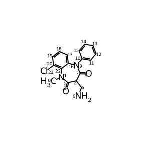 CN1C(=O)C(CN)C(=O)N(c2ccccc2)c2cccc(Cl)c21